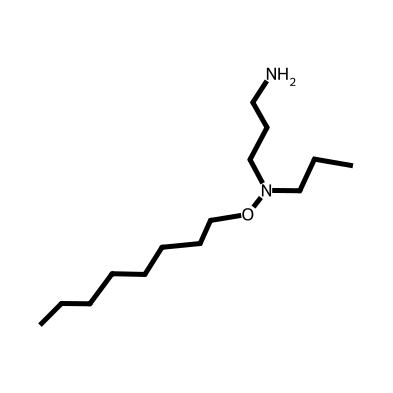 CCCCCCCCON(CCC)CCCN